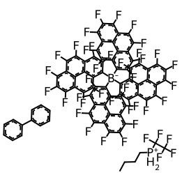 CCCC[PH2+]C(F)(F)C(F)(F)F.Fc1c(F)c2c(F)c(F)c3c(F)c(F)c([B-](c4c(F)c(F)c5c(F)c(F)c6c(F)c(F)c(F)c7c(F)c(F)c4c5c67)(c4c(F)c(F)c5c(F)c(F)c6c(F)c(F)c(F)c7c(F)c(F)c4c5c67)c4c(F)c(F)c5c(F)c(F)c6c(F)c(F)c(F)c7c(F)c(F)c4c5c67)c4c(F)c(F)c(c1F)c2c34.c1ccc(-c2ccccc2)cc1